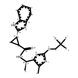 Cc1nc(OCC(F)(F)F)sc1[C@@H](C)NC(=O)C1C[C@@H]1c1nc2ccccc2[nH]1